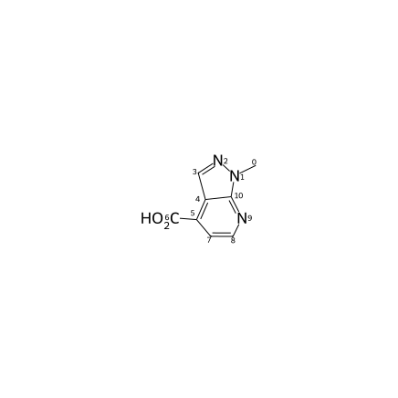 Cn1ncc2c(C(=O)O)ccnc21